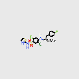 CN[C@H](CNc1cc(F)c(S(=O)(=O)Nc2nccs2)cc1Cl)Cc1ccc(F)cc1